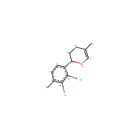 CC1=COC(c2ccc(C)c(F)c2F)CC1